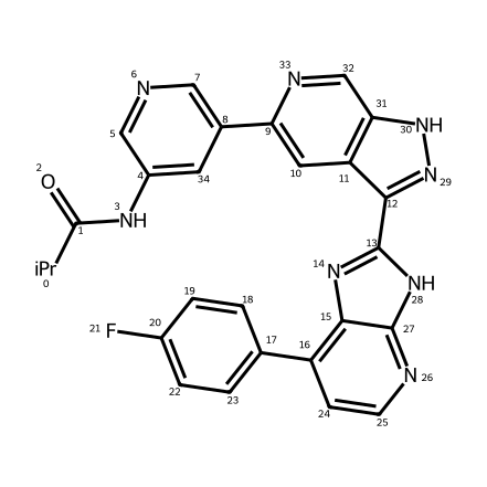 CC(C)C(=O)Nc1cncc(-c2cc3c(-c4nc5c(-c6ccc(F)cc6)ccnc5[nH]4)n[nH]c3cn2)c1